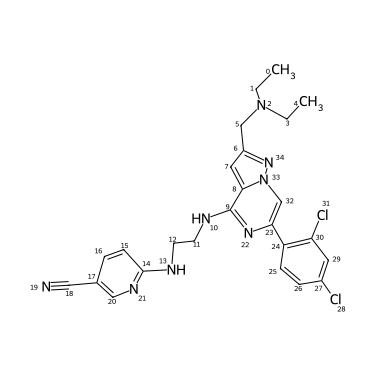 CCN(CC)Cc1cc2c(NCCNc3ccc(C#N)cn3)nc(-c3ccc(Cl)cc3Cl)cn2n1